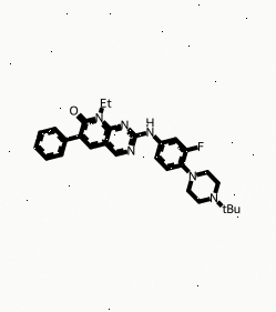 CCn1c(=O)c(-c2ccccc2)cc2cnc(Nc3ccc(N4CCN(C(C)(C)C)CC4)c(F)c3)nc21